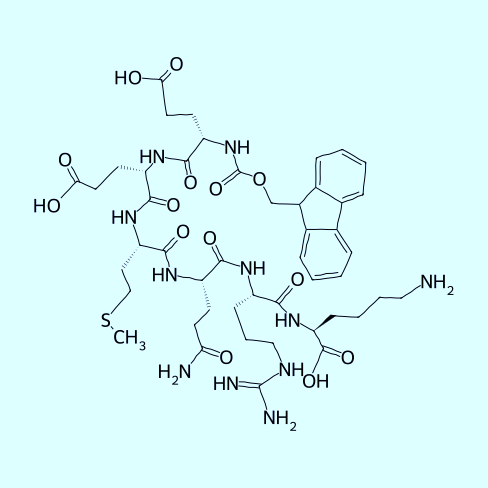 CSCC[C@H](NC(=O)[C@H](CCC(=O)O)NC(=O)[C@H](CCC(=O)O)NC(=O)OCC1c2ccccc2-c2ccccc21)C(=O)N[C@@H](CCC(N)=O)C(=O)N[C@@H](CCCNC(=N)N)C(=O)N[C@@H](CCCCN)C(=O)O